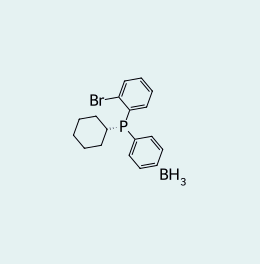 B.Brc1ccccc1[P@](c1ccccc1)C1CCCCC1